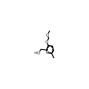 COCOc1ccc(C)nc1CO